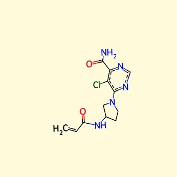 C=CC(=O)NC1CCN(c2ncnc(C(N)=O)c2Cl)C1